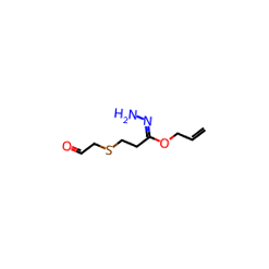 C=CCOC(CCSCC=O)=NN